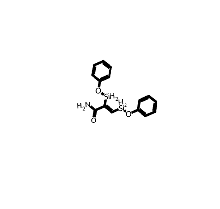 NC(=O)C(=C[SiH2]Oc1ccccc1)[SiH2]Oc1ccccc1